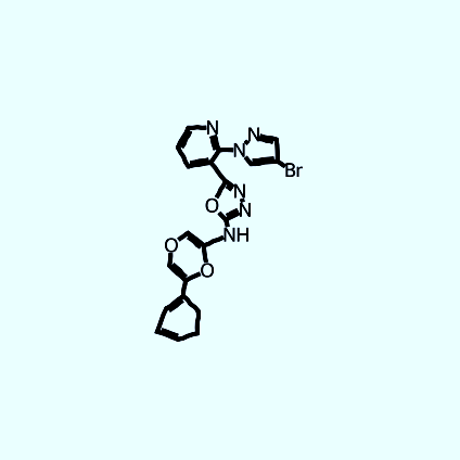 Brc1cnn(-c2ncccc2-c2nnc(NC3=COC=C(C4=CC=CCC4)O3)o2)c1